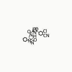 CC(C)[C@@H](NC(=O)c1ccc(C#N)c(Cl)c1)C(=O)N1CCC2(CC1)C(=O)N(C)CN2c1ccccc1